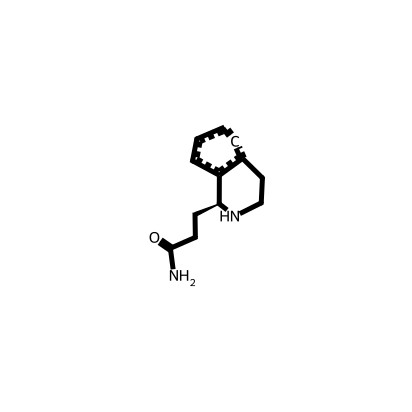 NC(=O)CC[C@@H]1NCCc2ccccc21